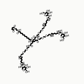 O=C(CCCCCCCCCCC(=O)NC(CCC(=O)NCCOCCOCCn1cc(CCc2nnc(N[C@H]3CO[C@H](CO)[C@H](O)[C@@H]3O)s2)nn1)(CCC(=O)NCCOCCOCCn1cc(CCc2nnc(N[C@H]3CO[C@H](CO)[C@H](O)[C@@H]3O)s2)nn1)CCC(=O)NCCOCCOCCn1cc(CCc2nnc(N[C@H]3CO[C@H](CO)[C@H](O)[C@@H]3O)s2)nn1)NCCN1C(=O)C=CC1=O